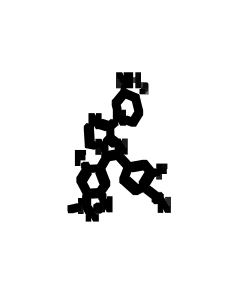 Cn1nnc2cc(-c3c(-c4ccc(C#N)c(F)c4)nc4c(N5CCC[C@@H](N)C5)nccn34)c(F)cc21